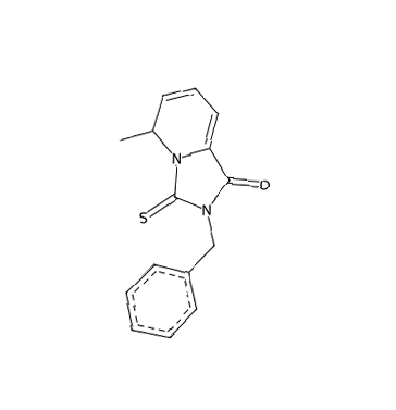 CC1C=CC=C2C(=O)N(Cc3ccccc3)C(=S)N21